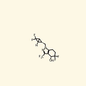 O[C@H]1c2c(C(F)(F)F)nn(C[C@@H]3C4[C@H]3C4(F)F)c2CCC1(F)F